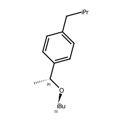 CC[C@H](C)O[C@H](C)c1ccc(CC(C)C)cc1